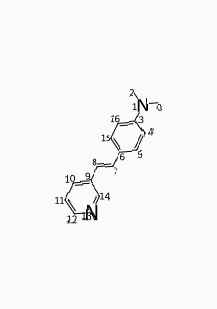 CN(C)c1ccc(/C=C/c2cccnc2)cc1